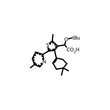 Cc1ccc(-c2sc(C)c(C(OC(C)(C)C)C(=O)O)c2C2=CCC(C)(C)CC2)nc1